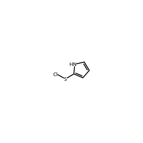 ClSc1ccc[nH]1